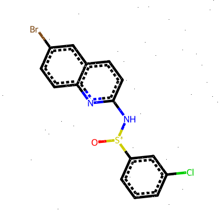 [O-][S+](Nc1ccc2cc(Br)ccc2n1)c1cccc(Cl)c1